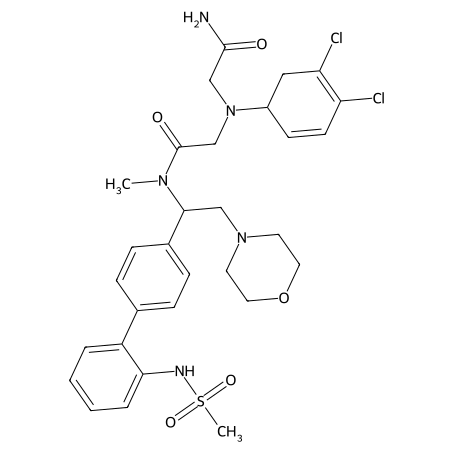 CN(C(=O)CN(CC(N)=O)C1C=CC(Cl)=C(Cl)C1)C(CN1CCOCC1)c1ccc(-c2ccccc2NS(C)(=O)=O)cc1